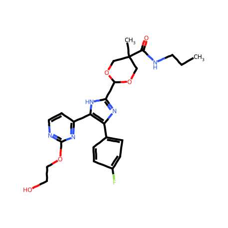 CCCNC(=O)C1(C)COC(c2nc(-c3ccc(F)cc3)c(-c3ccnc(OCCO)n3)[nH]2)OC1